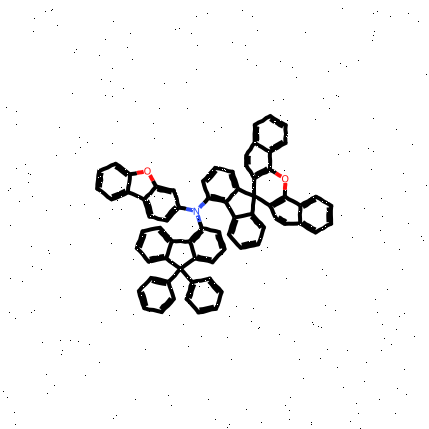 c1ccc(C2(c3ccccc3)c3ccccc3-c3c(N(c4ccc5c(c4)oc4ccccc45)c4cccc5c4-c4ccccc4C54c5ccc6ccccc6c5Oc5c4ccc4ccccc54)cccc32)cc1